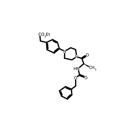 CCOC(=O)Cc1ccc(N2CCN(C(=O)[C@@H](C)NC(=O)OCc3ccccc3)CC2)cc1